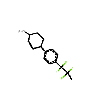 CCCCCCC1CCC(c2ccc(C(F)(F)C(C)(F)F)cc2)CC1